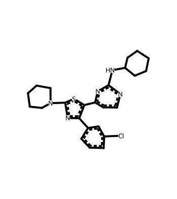 Clc1cccc(-c2nc(N3CCCCC3)sc2-c2ccnc(NC3CCCCC3)n2)c1